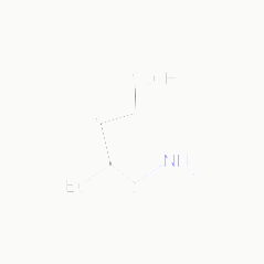 CCC(CN)CCS(=O)(=O)O